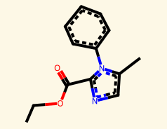 CCOC(=O)c1ncc(C)n1-c1ccccc1